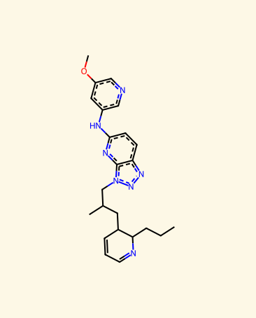 CCCC1N=CC=CC1CC(C)Cn1nnc2ccc(Nc3cncc(OC)c3)nc21